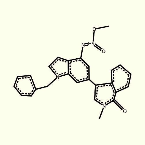 CO[SH](=O)=Nc1cc(-c2cn(C)c(=O)c3ccccc23)cc2c1ccn2Cc1ccccc1